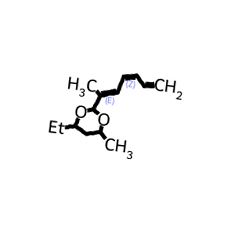 C=C/C=C\C=C(/C)C1OC(C)CC(CC)O1